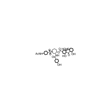 CC(=O)Nc1ccc(S(=O)(=O)N2CCC[C@@H](OC(=O)c3cc(O)c(C(=O)c4c(O)cccc4C(=O)O)c(O)c3)[C@H](NC(=O)c3ccc(O)cc3)C2)cc1